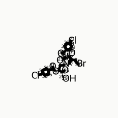 O=C(O[C@H]1C[C@H](n2cc(/C=C/Br)c(=O)n(C(=O)c3ccc(Cl)cc3)c2=O)O[C@@H]1CO)c1ccc(Cl)cc1